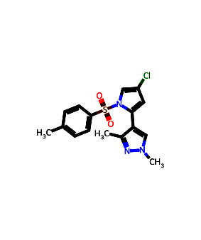 Cc1ccc(S(=O)(=O)n2cc(Cl)cc2-c2cn(C)nc2C)cc1